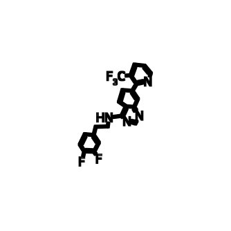 Fc1ccc(CCNc2ncnc3cc(-c4ncccc4C(F)(F)F)ccc23)cc1F